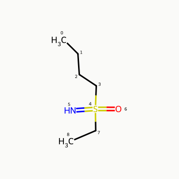 CCCCS(=N)(=O)CC